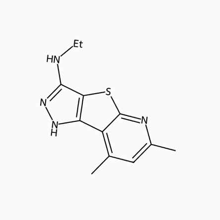 CCNc1n[nH]c2c1sc1nc(C)cc(C)c12